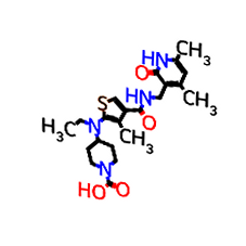 CCN(c1scc(C(=O)NCc2c(C)cc(C)[nH]c2=O)c1C)C1CCN(C(=O)O)CC1